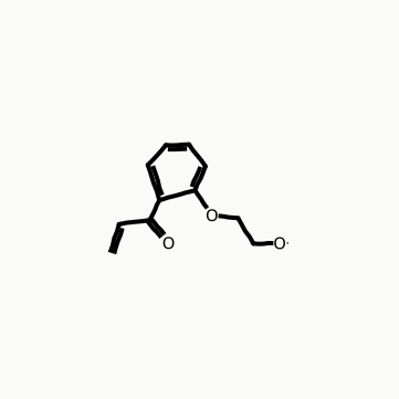 C=CC(=O)c1ccccc1OCC[O]